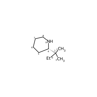 CCC(C)(C)[C@@H]1CCCCN1